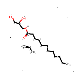 C=CC.CCCCCCCCCCCC(=O)OCC(O)CO